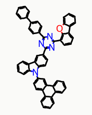 c1ccc(-c2ccc(-c3nc(-c4ccc5c(c4)c4ccccc4n5-c4ccc5c6ccccc6c6ccccc6c5c4)nc(-c4cccc5c4oc4ccccc45)n3)cc2)cc1